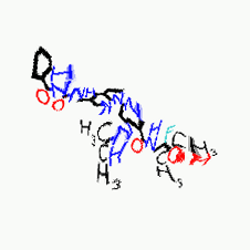 CC(C)Nc1cc(-n2ccc3cc(CNC(=O)NC(=O)c4ccccc4)cnc32)ncc1C(=O)NCC(F)C(C)(C)O